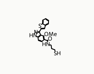 COc1c(C(=O)NCCCS)ccc2[nH]nc(-c3cc4ccccc4s3)c12